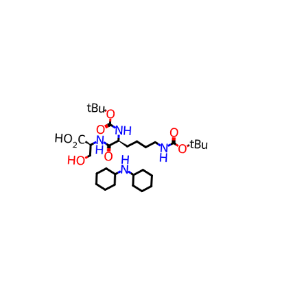 C1CCC(NC2CCCCC2)CC1.CC(C)(C)OC(=O)NCCCC[C@H](NC(=O)OC(C)(C)C)C(=O)N[C@@H](CO)C(=O)O